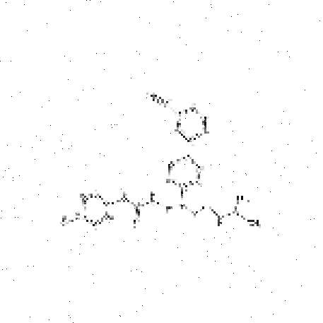 CC(C)NCCC(CNC(=O)Oc1ccc(Cl)cc1)c1ccc(-c2cccc(C#N)c2)cc1